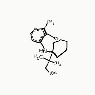 Cc1nccc(NC2(C(C)(C)CC(C)(C)C)CCCCC2)c1Cl